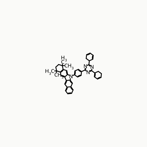 CC1(C)CCC(C)(C)c2cc3c(cc21)c1cc2ccccc2cc1n3-c1ccc(-c2nc(C3=CC=CCC3)nc(C3C=CC=CC3)n2)cc1